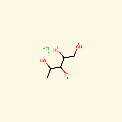 CC(O)C(O)C(O)CO.Cl